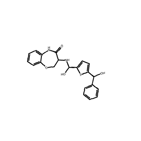 O=C1Nc2ccccc2OCC1NC(O)c1ccc(C(O)c2ccccc2)s1